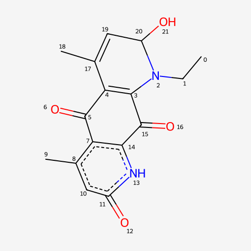 CCN1C2=C(C(=O)c3c(C)cc(=O)[nH]c3C2=O)C(C)=CC1O